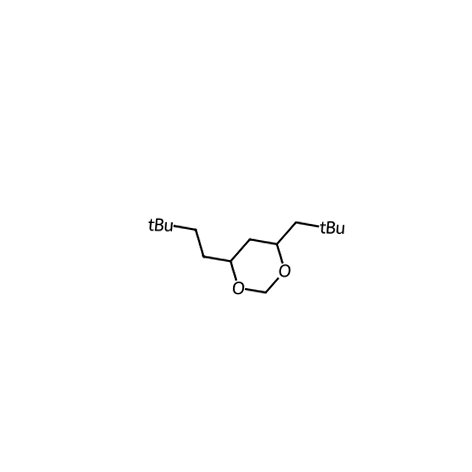 CC(C)(C)CCC1CC(CC(C)(C)C)OCO1